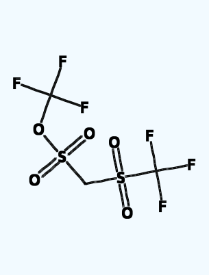 O=S(=O)(CS(=O)(=O)C(F)(F)F)OC(F)(F)F